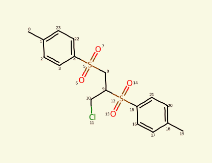 Cc1ccc(S(=O)(=O)CC(CCl)S(=O)(=O)c2ccc(C)cc2)cc1